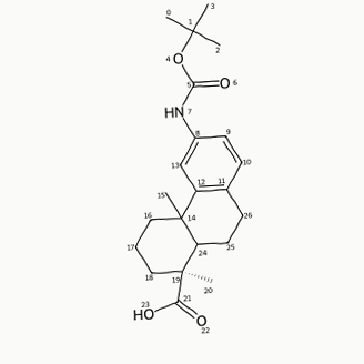 CC(C)(C)OC(=O)Nc1ccc2c(c1)C1(C)CCC[C@](C)(C(=O)O)C1CC2